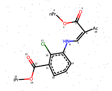 CCCOC(=O)C(=CNc1cccc(C(=O)OC(C)C)c1Cl)C(C)=O